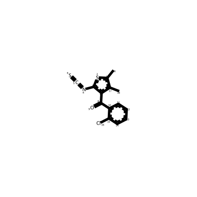 Cc1sc(N=C=S)c(C(=O)c2ccccc2Cl)c1C